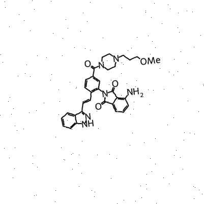 COCCCN1CCN(C(=O)c2ccc(C=Cc3n[nH]c4ccccc34)c(N3C(=O)c4cccc(N)c4C3=O)c2)CC1